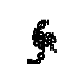 COc1ccc(CN(Cc2ccc(OC)cc2)c2cc(C)c(C(F)(F)F)c(C3Cc4ncnc(N5CCNCC5)c4CC3C)n2)cc1